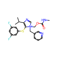 CNC(=O)OC[N+]1(Cc2cccnc2)C=NC(C(C)C)=C1Sc1cc(F)cc(F)c1